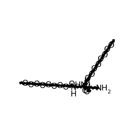 CCCOCCOCCOCCOCCOCCOCCOCCOCCC(=O)NCCCC[C@@H](NC(=O)CCOCCOCCOCCOCCOCCOCCOCCOCCC)C(=O)NC(CCCCN)C(C)=O